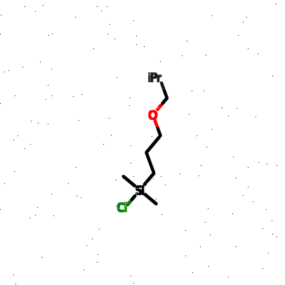 CC(C)COCCC[Si](C)(C)Cl